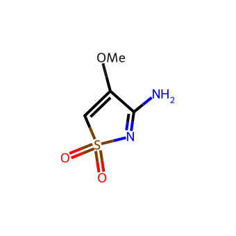 COC1=CS(=O)(=O)N=C1N